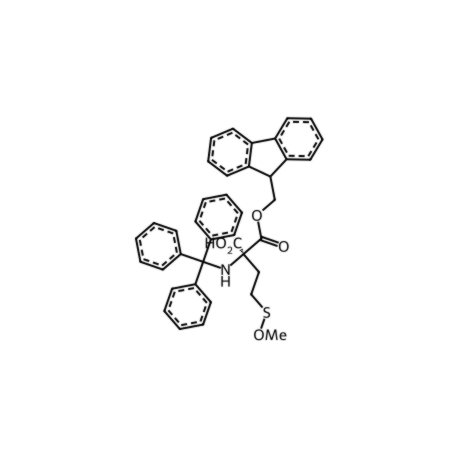 COSCC[C@](NC(c1ccccc1)(c1ccccc1)c1ccccc1)(C(=O)O)C(=O)OCC1c2ccccc2-c2ccccc21